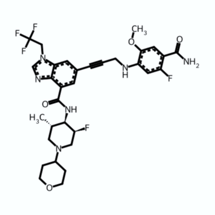 COc1cc(C(N)=O)c(F)cc1NCC#Cc1cc(C(=O)N[C@@H]2[C@@H](C)CN(C3CCOCC3)C[C@@H]2F)c2ncn(CC(F)(F)F)c2c1